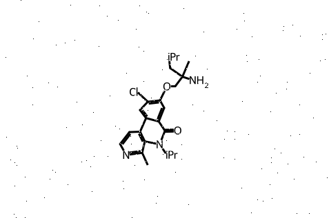 Cc1nccc2c3cc(Cl)c(OCC(C)(N)CC(C)C)cc3c(=O)n(C(C)C)c12